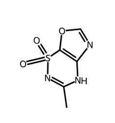 CC1=NS(=O)(=O)c2ocnc2N1